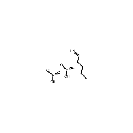 CCCCC=N.O=[N+]([O-])O.O=[N+]([O-])O